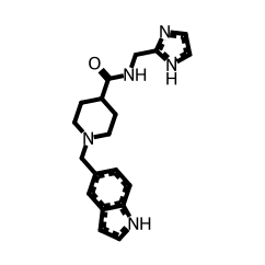 O=C(NCc1ncc[nH]1)C1CCN(Cc2ccc3[nH]ccc3c2)CC1